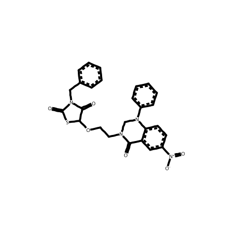 O=C1c2cc([N+](=O)[O-])ccc2N(c2ccccc2)CN1CCOC1SC(=O)N(Cc2ccccc2)C1=O